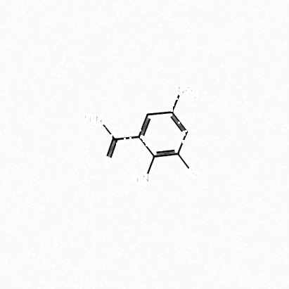 NC(=S)c1cc([N+](=O)[O-])cc(Br)c1N